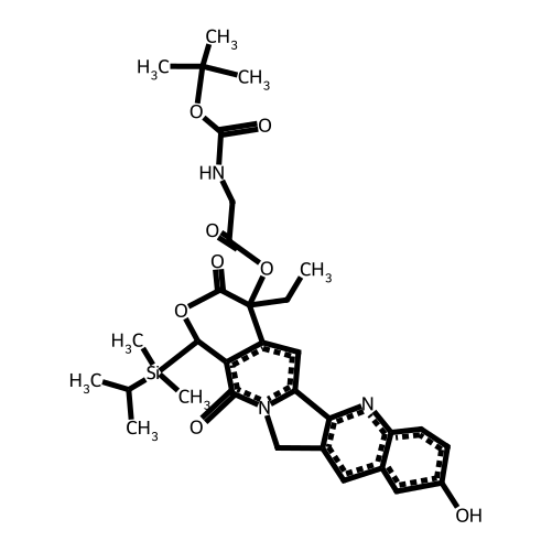 CCC1(OC(=O)CNC(=O)OC(C)(C)C)C(=O)OC([Si](C)(C)C(C)C)c2c1cc1n(c2=O)Cc2cc3cc(O)ccc3nc2-1